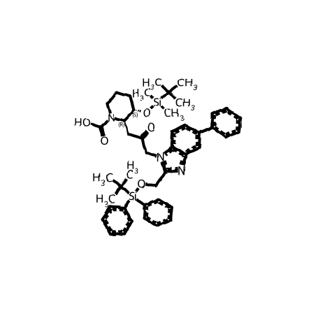 CC(C)(C)[Si](C)(C)O[C@H]1CCCN(C(=O)O)[C@@H]1CC(=O)Cn1c(CO[Si](c2ccccc2)(c2ccccc2)C(C)(C)C)nc2cc(-c3ccccc3)ccc21